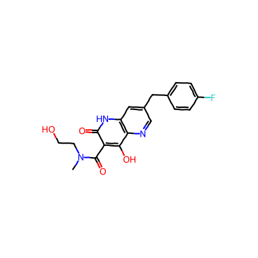 CN(CCO)C(=O)c1c(O)c2ncc(Cc3ccc(F)cc3)cc2[nH]c1=O